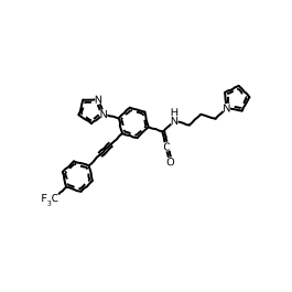 O=C=C(NCCCn1cccc1)c1ccc(-n2cccn2)c(C#Cc2ccc(C(F)(F)F)cc2)c1